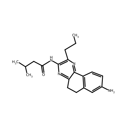 CCCc1nc2c(nc1NC(=O)CC(C)C)CCc1cc(N)ccc1-2